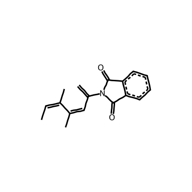 C=C(/C=C(C)\C(C)=C/C)N1C(=O)c2ccccc2C1=O